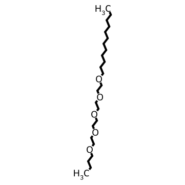 CCCCCCCCCCCCOCCOCCOCCOCCOCCCC